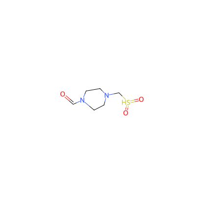 O=CN1CCN(C[SH](=O)=O)CC1